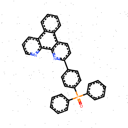 O=P(c1ccccc1)(c1ccccc1)c1ccc(-c2ccc3c4ccccc4c4cccnc4c3n2)cc1